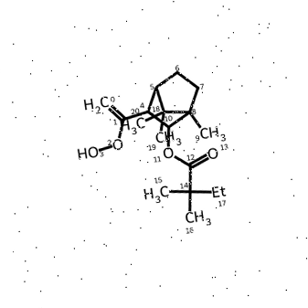 C=C(OO)C1C2CCC(C)(C1OC(=O)C(C)(C)CC)C2(C)C